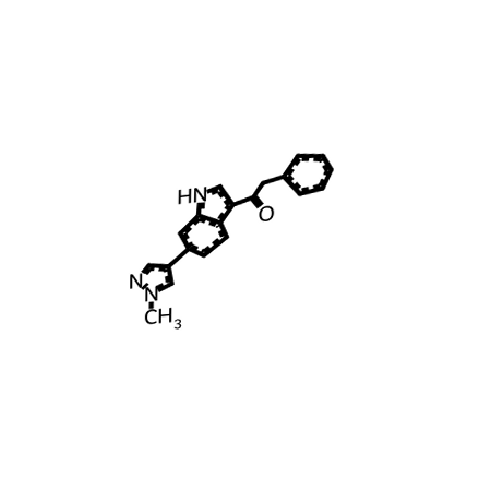 Cn1cc(-c2ccc3c(C(=O)Cc4ccccc4)c[nH]c3c2)cn1